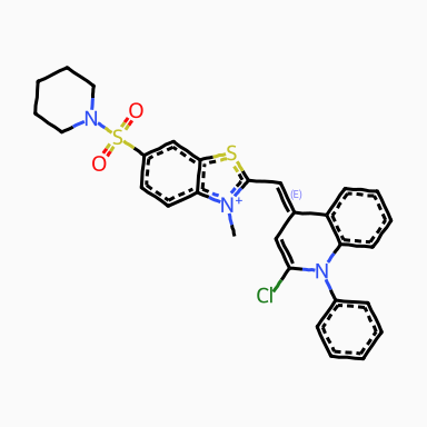 C[n+]1c(/C=C2\C=C(Cl)N(c3ccccc3)c3ccccc32)sc2cc(S(=O)(=O)N3CCCCC3)ccc21